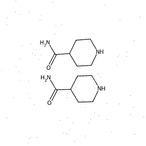 NC(=O)C1CCNCC1.NC(=O)C1CCNCC1